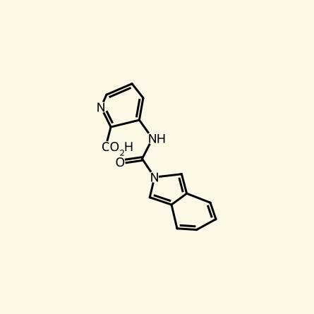 O=C(O)c1ncccc1NC(=O)n1cc2ccccc2c1